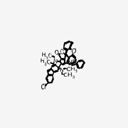 CCN(CC)c1c(C2(N(CC)CC)C=CC3=Cc4cc(Cl)ccc4C3=C2)cc(NCc2ccccc2)c2c1C(=O)OC21c2ccccc2Oc2ccccc21